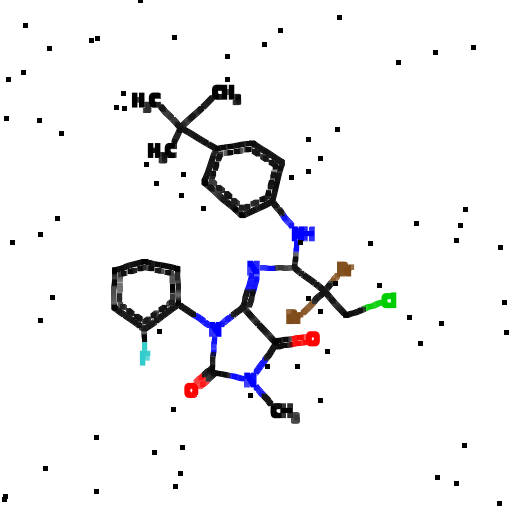 CN1C(=O)C(=NC(Nc2ccc(C(C)(C)C)cc2)C(Br)(Br)CCl)N(c2ccccc2F)C1=O